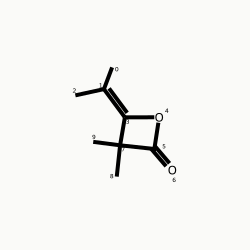 CC(C)=C1OC(=O)C1(C)C